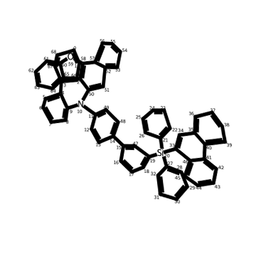 c1ccc(-c2ccccc2N(c2ccc(-c3cccc([Si](c4ccccc4)(c4ccccc4)c4cc5ccccc5c5ccccc45)c3)cc2)c2cc3ccccc3c3oc4ccccc4c23)cc1